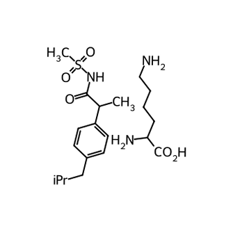 CC(C)Cc1ccc(C(C)C(=O)NS(C)(=O)=O)cc1.NCCCCC(N)C(=O)O